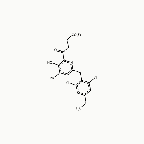 CCOC(=O)CCC(=O)c1nc(Cc2c(Cl)cc(OC(F)(F)F)cc2Cl)cc(C#N)c1O